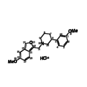 COc1cccc(C2CCCN(Cc3occ4cc(OC)ccc34)C2)c1.Cl